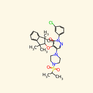 CC(C)S(=O)(=O)N1CCN(c2cnn(-c3cccc(Cl)c3)c(=O)c2OC2C(C)(C)c3ccccc3C2(C)C)CC1